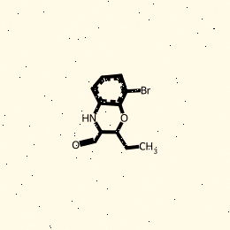 CCC1Oc2c(Br)cccc2NC1C=O